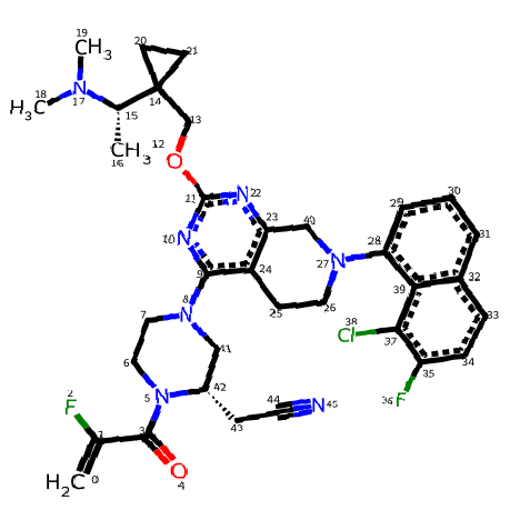 C=C(F)C(=O)N1CCN(c2nc(OCC3([C@H](C)N(C)C)CC3)nc3c2CCN(c2cccc4ccc(F)c(Cl)c24)C3)C[C@@H]1CC#N